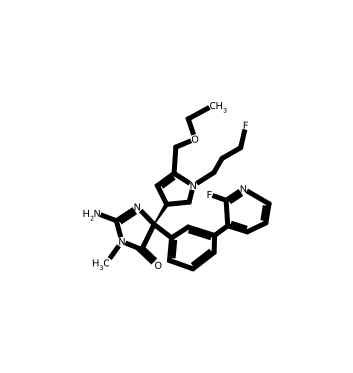 CCOCC1=CC([C@]2(c3cccc(-c4cccnc4F)c3)N=C(N)N(C)C2=O)CN1CCCF